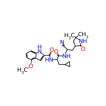 COc1cccc2[nH]c(C(=O)NC(CC3CC3)C(=O)NC(C#N)CC3CC(C)(C)NC3=O)cc12